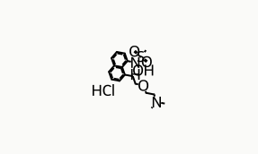 CN(C)CCOCC(O)c1cccc2cccc(NS(C)(=O)=O)c12.Cl